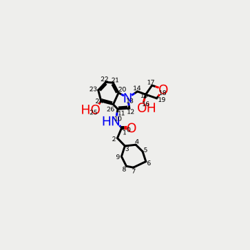 O=C(CC1CCCCCC1)Nc1cn(CC2(O)COC2)c2cccc(O)c12